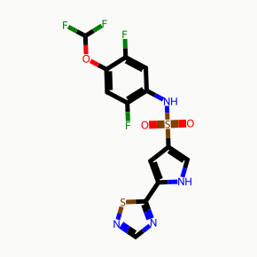 O=S(=O)(Nc1cc(F)c(OC(F)F)cc1F)c1c[nH]c(-c2ncns2)c1